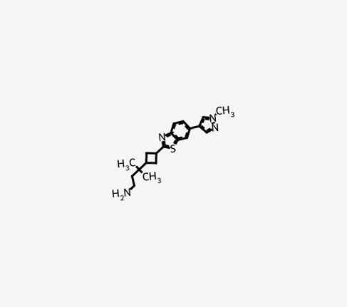 Cn1cc(-c2ccc3nc(C4CC(C(C)(C)CCN)C4)sc3c2)cn1